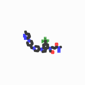 CNC(=O)CCN(C=O)c1cc(C(F)(F)F)cc2c1ccn2C1CCN(CC2CCN(c3ccc(C)nn3)CC2)CC1